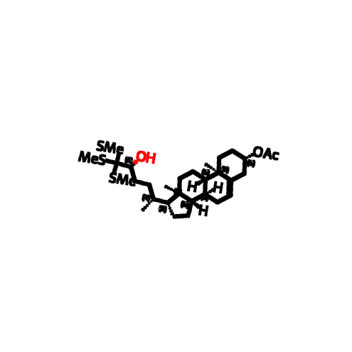 CSC(SC)(SC)[C@@H](O)CC[C@@H](C)[C@H]1CC[C@H]2[C@@H]3CC=C4C[C@@H](OC(C)=O)CC[C@]4(C)[C@H]3CC[C@]12C